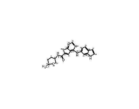 CN1CCC(NC(=O)c2cc3c(Nc4ccc5cc[nH]c5c4)ncnc3s2)CC1